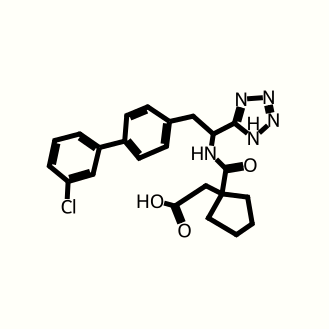 O=C(O)CC1(C(=O)NC(Cc2ccc(-c3cccc(Cl)c3)cc2)c2nnn[nH]2)CCCC1